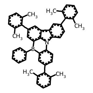 Cc1cccc(C)c1-c1ccc2c(c1)B(c1ccccc1)c1cc(-c3c(C)cccc3C)cc3c4cc(-c5c(C)cccc5C)ccc4n-2c13